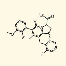 COc1cccc(-c2c(C)c(Cc3c(F)cccc3F)c3n(c2=O)C(C(=O)S)CS3)c1F